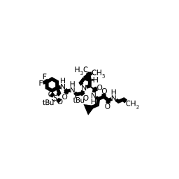 C=CCNC(=O)C(=O)C(CC1CC1)NC(=O)[C@@H]1[C@@H]2C(CN1C(=O)[C@@H](NC(=O)NC1(CS(=O)(=O)C(C)(C)C)CCC(F)(F)CC1)C(C)(C)C)C2(C)C